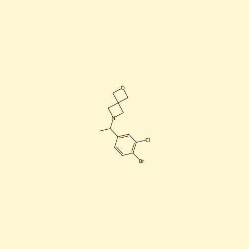 CC(c1ccc(Br)c(Cl)c1)N1CC2(COC2)C1